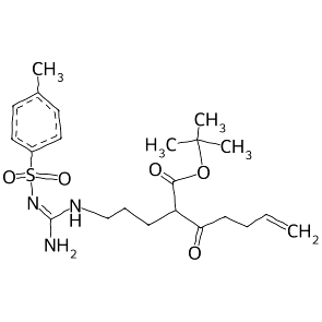 C=CCCC(=O)C(CCCNC(N)=NS(=O)(=O)c1ccc(C)cc1)C(=O)OC(C)(C)C